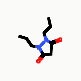 CCCN1C(=O)CC(=O)N1CCC